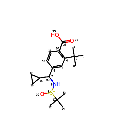 CC(C)(C)c1cc([C@@H](N[S+]([O-])C(C)(C)C)C2CC2)ccc1C(=O)O